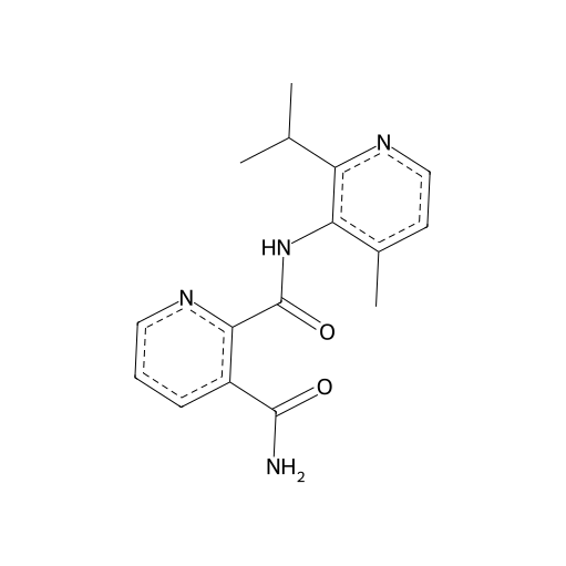 Cc1ccnc(C(C)C)c1NC(=O)c1ncccc1C(N)=O